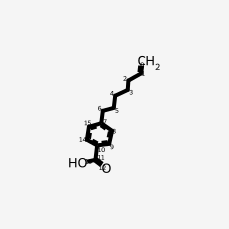 C=CCCCCCc1ccc(C(=O)O)cc1